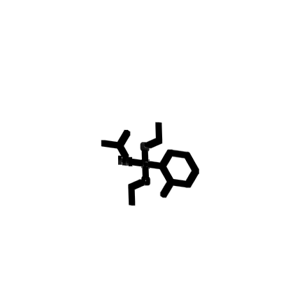 CCO[Si](NC(C)C)(OCC)C1CCCCC1C